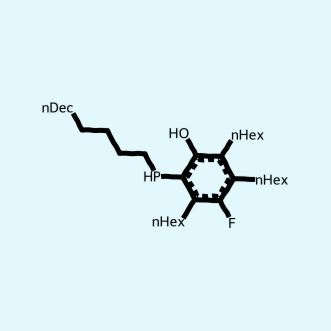 CCCCCCCCCCCCCCPc1c(O)c(CCCCCC)c(CCCCCC)c(F)c1CCCCCC